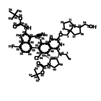 CCN(c1nc(OCC23CCCN2C(CO)CC3)nc2c(F)c(-c3ccc(F)c4sc(NC(=O)OC(C)(C)C)c(C#N)c34)c(Cl)cc12)[C@@H]1CCN(C(=O)OC(C)(C)C)[C@@H]1C